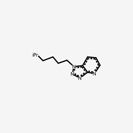 CC(C)CCCCn1nnc2ncccc21